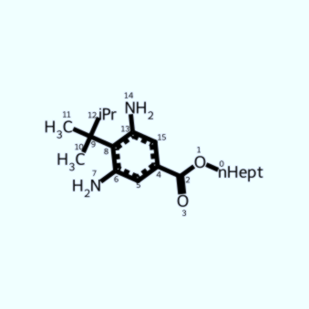 CCCCCCCOC(=O)c1cc(N)c(C(C)(C)C(C)C)c(N)c1